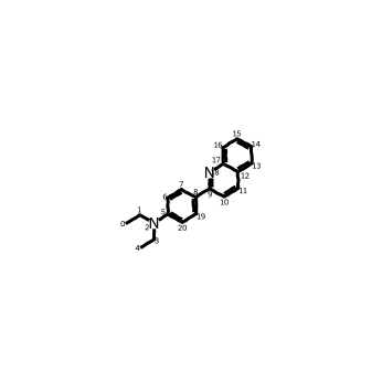 CCN(CC)c1ccc(-c2ccc3ccccc3n2)cc1